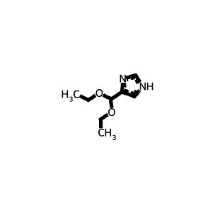 CCOC(OCC)c1c[nH]cn1